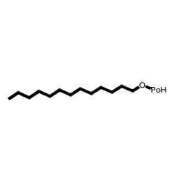 CCCCCCCCCCCCC[O][PoH]